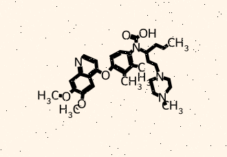 CCCC(CCN1CCN(C)CC1)N(C(=O)O)c1ccc(Oc2ccnc3cc(OC)c(OC)cc23)c(C)c1C